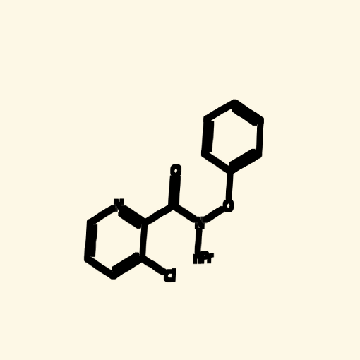 CCCN(Oc1ccccc1)C(=O)c1ncccc1Cl